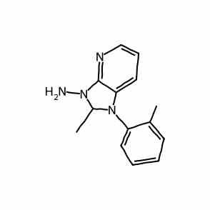 Cc1ccccc1N1c2cccnc2N(N)C1C